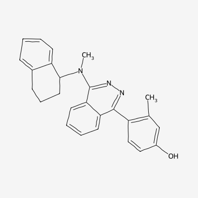 Cc1cc(O)ccc1-c1nnc(N(C)C2CCCc3ccccc32)c2ccccc12